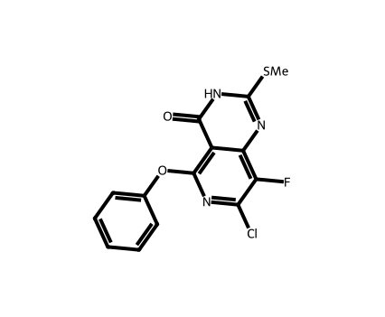 CSc1nc2c(F)c(Cl)nc(Oc3ccccc3)c2c(=O)[nH]1